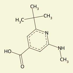 CNc1cc(C(=O)O)cc(C(C)(C)C)n1